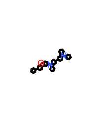 c1ccc(-c2ccc3c(c2)oc2ccc(-n4c5ccccc5c5cc(-c6ccc7c(c6)c6ccccc6n7-c6ccccc6)ccc54)cc23)cc1